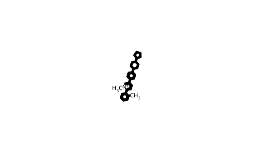 Cc1ccccc1-c1ccc(-c2ccc(C3CCC(C4CCCC4)CC3)cc2)c[n+]1C